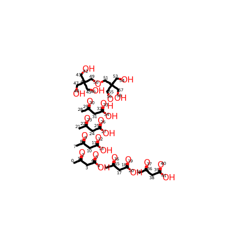 CC(=O)CC(=O)O.CC(=O)CC(=O)O.CC(=O)CC(=O)O.CC(=O)CC(=O)O.CC(=O)CC(=O)O.CC(=O)CC(=O)O.OCC(CO)(CO)COCC(CO)(CO)CO